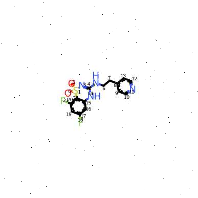 O=S1(=O)N=C(NCCc2ccncc2)Nc2cc(F)cc(F)c21